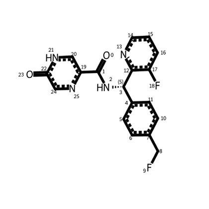 O=C(N[C@@H](c1ccc(CF)cc1)c1ncccc1F)c1c[nH]c(=O)cn1